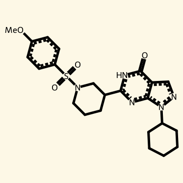 COc1ccc(S(=O)(=O)N2CCCC(c3nc4c(cnn4C4CCCCC4)c(=O)[nH]3)C2)cc1